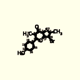 Cc1sc2c(=O)c(C)c(-c3ccc(O)cc3)oc2c1Br